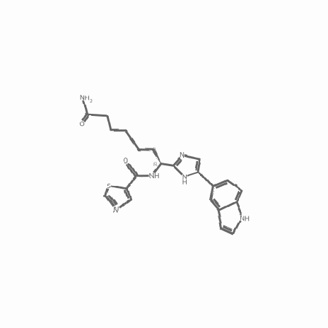 NC(=O)CCCCC[C@H](NC(=O)c1cncs1)c1ncc(-c2ccc3[nH]ccc3c2)[nH]1